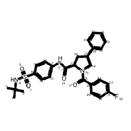 CC(C)(C)NS(=O)(=O)c1ccc(NC(=O)C2CC(c3ccccc3)CN2C(=O)c2ccc(F)cc2)cc1